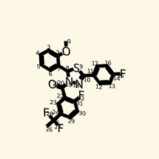 COc1ccccc1C1SC(c2ccc(F)cc2)=NN1C(=O)c1cc(C(C)(F)F)ccc1F